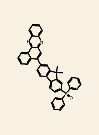 CC1(C)c2cc(-c3cc4nc5ccccc5nc4c4ccccc34)ccc2-c2ccc(P(=O)(c3ccccc3)c3ccccc3)cc21